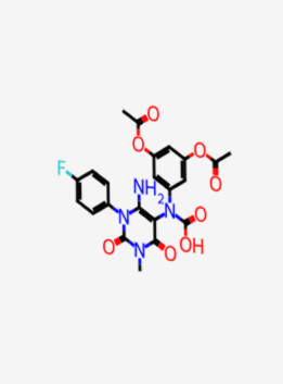 CC(=O)Oc1cc(OC(C)=O)cc(N(C(=O)O)c2c(N)n(-c3ccc(F)cc3)c(=O)n(C)c2=O)c1